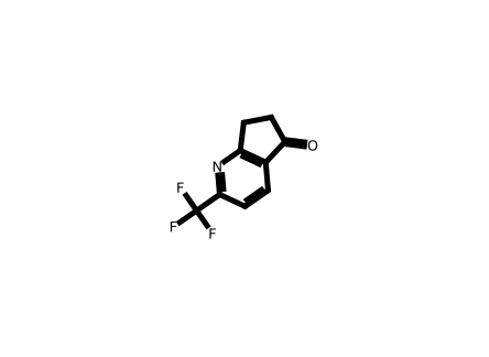 O=C1CCc2nc(C(F)(F)F)ccc21